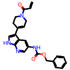 C=CC(=O)N1CC=C(c2c[nH]c3ncc(NC(=O)OCc4ccccc4)cc23)CC1